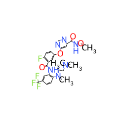 CONC(=O)c1cc(Oc2ccc(F)c(C(=O)Nc3cc(C(F)(F)F)ccc3N(C)CCN(C)C)c2)ncn1